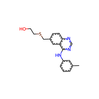 Cc1cccc(Nc2ncnc3ccc(CSCCO)cc23)c1